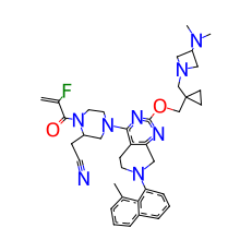 C=C(F)C(=O)N1CCN(c2nc(OCC3(CN4CC(N(C)C)C4)CC3)nc3c2CCN(c2cccc4cccc(C)c24)C3)CC1CC#N